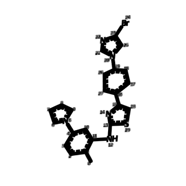 Cc1ccc(-n2cccc2)cc1Nc1nc(-c2ccc(-n3cnc(Br)c3)cc2)cs1